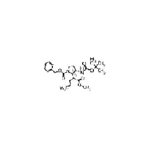 C=CCC(C(=O)OC)[C@@H]1[C@@H](NC(=O)OC(C)(C)C)CCN1C(=O)OCc1ccccc1